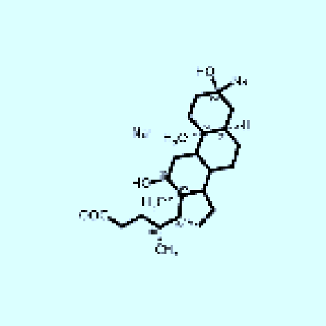 C[C@H](CCC(=O)[O-])[C@H]1CCC2C3CC[C@@H]4C[C@@](O)([Na])CC[C@]4(C)C3C[C@H](O)[C@@]21C.[Na+]